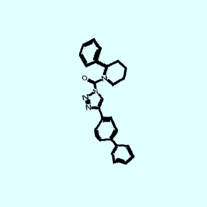 O=C(N1CCCCC1c1ccccc1)n1cc(-c2ccc(-c3ccccc3)cc2)nn1